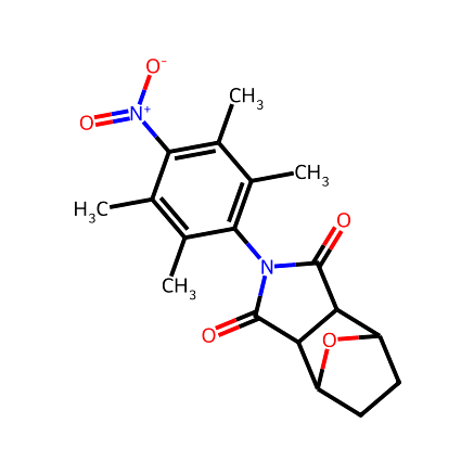 Cc1c(C)c([N+](=O)[O-])c(C)c(C)c1N1C(=O)C2C3CCC(O3)C2C1=O